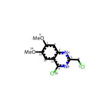 COc1cc2nc(CCl)nc(Cl)c2cc1OC